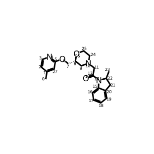 Cc1ccnc(OC[C@H]2CN(CC(=O)N3c4ccccc4CC3C)CCO2)c1